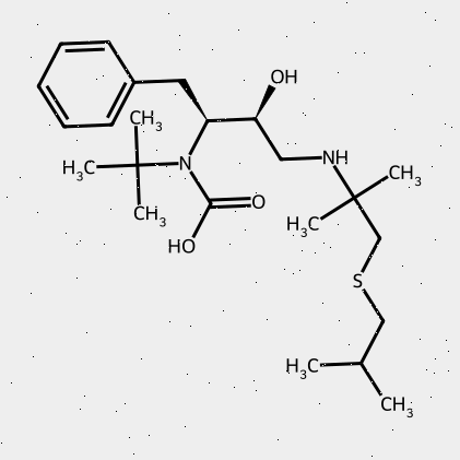 CC(C)CSCC(C)(C)NC[C@H](O)[C@H](Cc1ccccc1)N(C(=O)O)C(C)(C)C